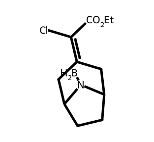 BN1C2CCC1CC(=C(Cl)C(=O)OCC)C2